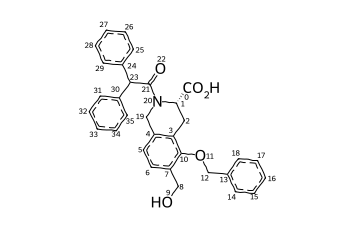 O=C(O)[C@@H]1Cc2c(ccc(CO)c2OCc2ccccc2)CN1C(=O)C(c1ccccc1)c1ccccc1